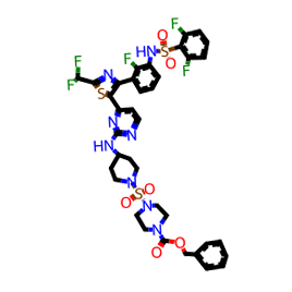 O=C(OCc1ccccc1)N1CCN(S(=O)(=O)N2CCC(Nc3nccc(-c4sc(C(F)F)nc4-c4cccc(NS(=O)(=O)c5c(F)cccc5F)c4F)n3)CC2)CC1